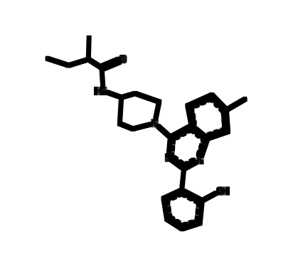 CCC(C)C(=O)NC1CCN(c2nc(-c3ccccc3O)nc3cc(C)ccc23)CC1